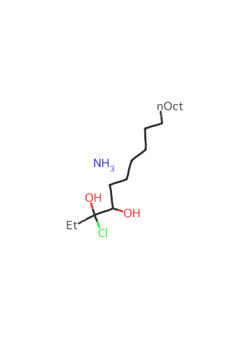 CCCCCCCCCCCCCCC(O)C(O)(Cl)CC.N